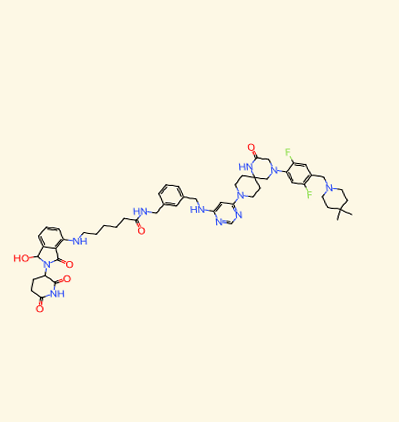 CC1(C)CCN(Cc2cc(F)c(N3CC(=O)NC4(CCN(c5cc(NCc6cccc(CNC(=O)CCCCCNc7cccc8c7C(=O)N(C7CCC(=O)NC7=O)C8O)c6)ncn5)CC4)C3)cc2F)CC1